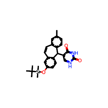 Cc1ccc2c(c1)C=Cc1cc(O[Si](C)(C)C(C)(C)C)ccc1C2c1c[nH]c(=O)[nH]c1=O